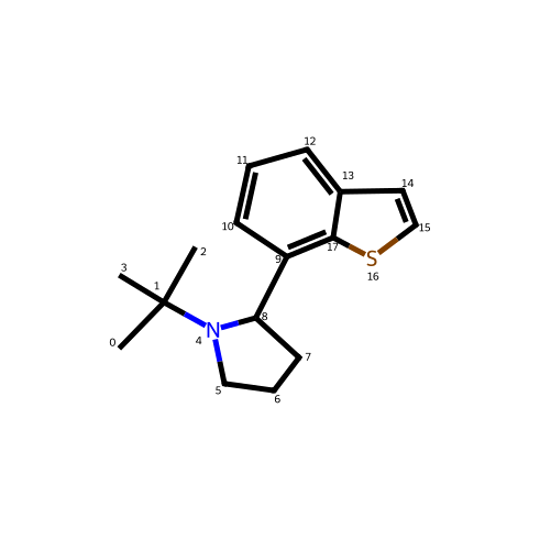 CC(C)(C)N1CCCC1c1cccc2ccsc12